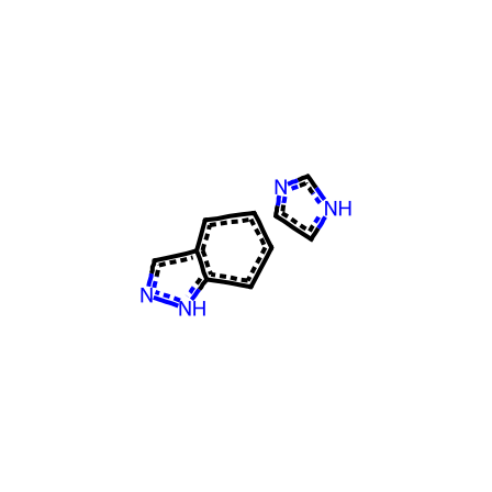 c1c[nH]cn1.c1ccc2[nH]ncc2c1